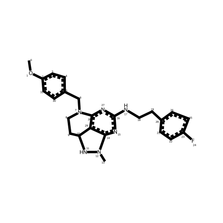 COc1ccc(CN2CCC3NN(C)c4nc(NCCc5ccc(F)cc5)nc2c43)cc1